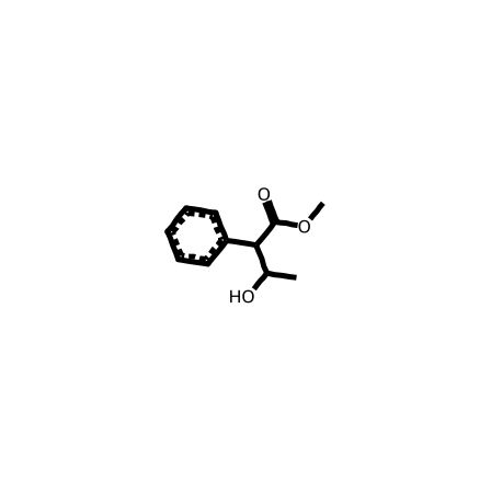 COC(=O)C(c1ccccc1)C(C)O